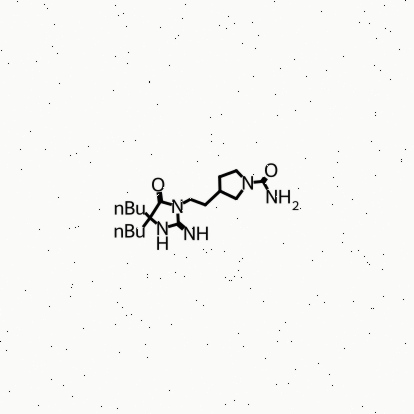 CCCCC1(CCCC)NC(=N)N(CCC2CCN(C(N)=O)C2)C1=O